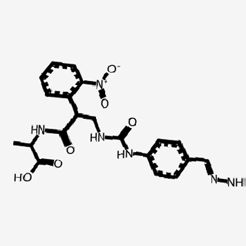 CC(NC(=O)C(CNC(=O)Nc1ccc(C=NN)cc1)c1ccccc1[N+](=O)[O-])C(=O)O